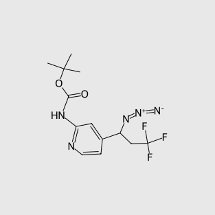 CC(C)(C)OC(=O)Nc1cc(C(CC(F)(F)F)N=[N+]=[N-])ccn1